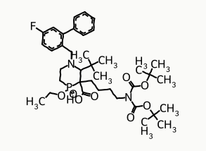 CCOP1(=O)CCN(Cc2ccc(F)cc2-c2ccccc2)C(C(C)(C)C)C1(CCCCN(C(=O)OC(C)(C)C)C(=O)OC(C)(C)C)C(=O)O